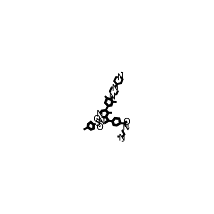 Cc1ccc(S(=O)(=O)n2cc(-c3ccc(C(=O)N(C)CCN(C)C)cc3)c3c(C)c(-c4cc(C)c(N5CCN(C6CCN(C)CC6)CC5)c(C)c4)cnc32)cc1